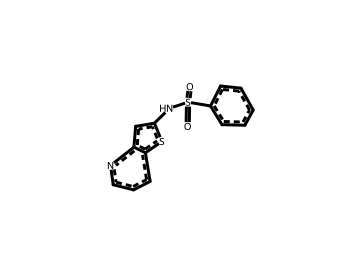 O=S(=O)(Nc1cc2ncccc2s1)c1ccccc1